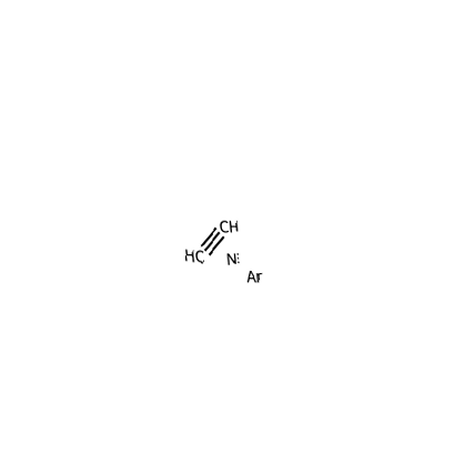 C#C.[Ar].[N]